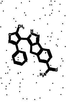 Cc1onc(-c2ccccc2)c1-c1[nH]nc2c1Cc1cc(C(N)=O)ccc1-2